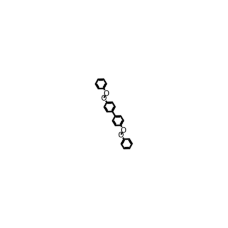 c1ccc(OOc2ccc(-c3ccc(OOc4ccccc4)cc3)cc2)cc1